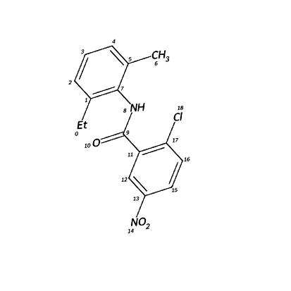 CCc1cccc(C)c1NC(=O)c1cc([N+](=O)[O-])ccc1Cl